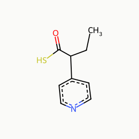 CCC(C(=O)S)c1ccncc1